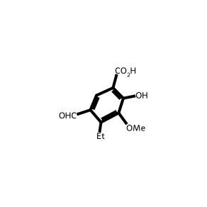 CCc1c(C=O)cc(C(=O)O)c(O)c1OC